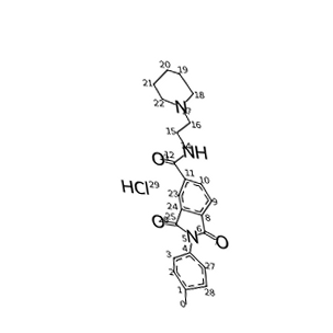 Cc1ccc(N2C(=O)c3ccc(C(=O)NCCN4CCCCC4)cc3C2=O)cc1.Cl